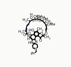 CO[C@H]1/C=C/OC2(C)Oc3c(C)c(O)c4c(c3C2=O)C2=NC3(CCN(CC(C)C)CC3)NC2=C(NC(=O)/C(C)=C\C=C\C(C)[C@H](O)[C@@H](C)[C@@H](O)[C@@H](C)[C@H](O)[C@@H]1C)C4=O